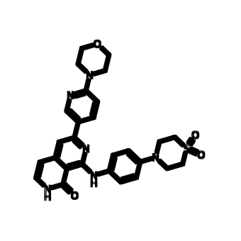 O=c1[nH]ccc2cc(-c3ccc(N4CCOCC4)nc3)nc(Nc3ccc(N4CCS(=O)(=O)CC4)cc3)c12